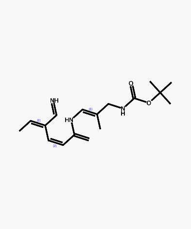 C=C(/C=C\C(C=N)=C/C)N/C=C(\C)CNC(=O)OC(C)(C)C